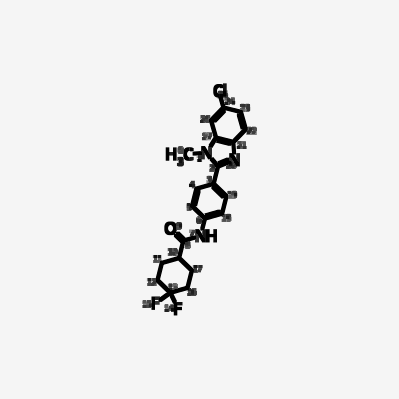 Cn1c(-c2ccc(NC(=O)C3CCC(F)(F)CC3)cc2)nc2ccc(Cl)cc21